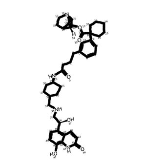 O=C(CCCc1cccc(C2(C(=O)O[C@H]3CN4CCC3CC4)CCCCC2)c1)NC1CCC(CNC[C@@H](O)c2ccc(O)c3[nH]c(=O)ccc23)CC1